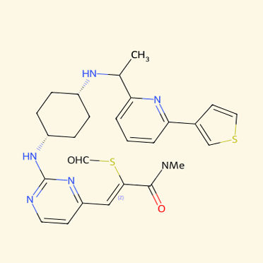 CNC(=O)/C(=C/c1ccnc(N[C@H]2CC[C@@H](NC(C)c3cccc(-c4ccsc4)n3)CC2)n1)SC=O